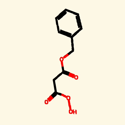 O=C(CC(=O)OCc1ccccc1)OO